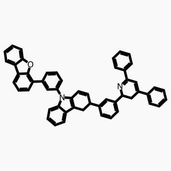 C1=CC(c2cccc(C3CC(c4ccccc4)=CC(c4ccccc4)=N3)c2)Cc2c1n(-c1cccc(-c3cccc4c3oc3ccccc34)c1)c1ccccc21